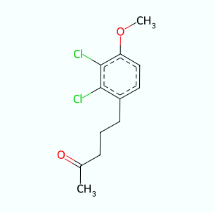 COc1ccc(CCCC(C)=O)c(Cl)c1Cl